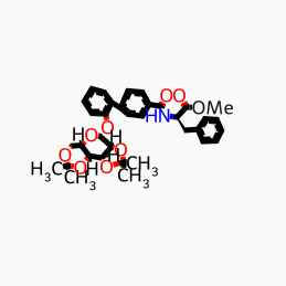 COC(=O)[C@@H](Cc1ccccc1)NC(=O)c1ccc(-c2ccccc2O[C@H]2O[C@@H]3COC(C)(C)O[C@H]3[C@@H]3OC(C)(C)O[C@H]23)cc1